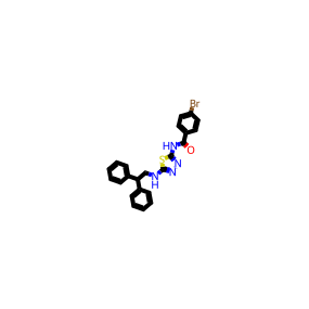 O=C(Nc1nnc(NCC(c2ccccc2)c2ccccc2)s1)c1ccc(Br)cc1